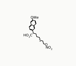 COc1ccc2cc([C@H](CCCSCCO[N+](=O)[O-])C(=O)O)ccc2c1